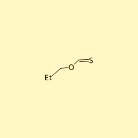 CCCOC=S